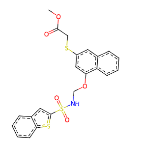 COC(=O)CSc1cc(OCNS(=O)(=O)c2cc3ccccc3s2)c2ccccc2c1